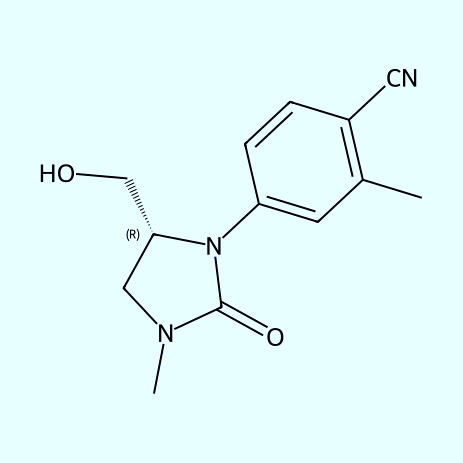 Cc1cc(N2C(=O)N(C)C[C@@H]2CO)ccc1C#N